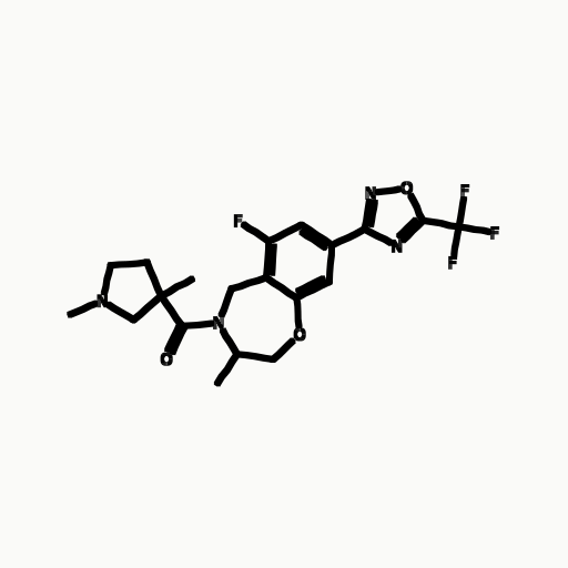 CC1COc2cc(-c3noc(C(F)(F)F)n3)cc(F)c2CN1C(=O)C1(C)CCN(C)C1